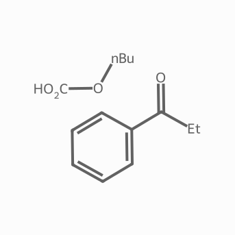 CCC(=O)c1ccccc1.CCCCOC(=O)O